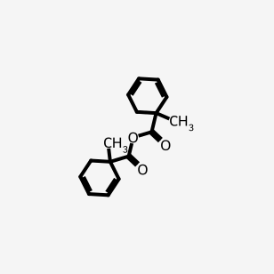 CC1(C(=O)OC(=O)C2(C)C=CC=CC2)C=CC=CC1